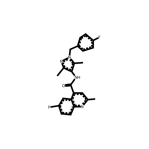 Cc1cc(C(=O)Nc2c(C)nn(Cc3ccc(F)cc3)c2C)c2cc(F)ccc2n1